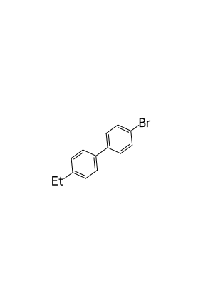 [CH2]Cc1ccc(-c2ccc(Br)cc2)cc1